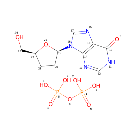 O=P(O)(O)OP(=O)(O)O.O=c1[nH]cnc2c1ncn2[C@H]1CC[C@@H](CO)O1